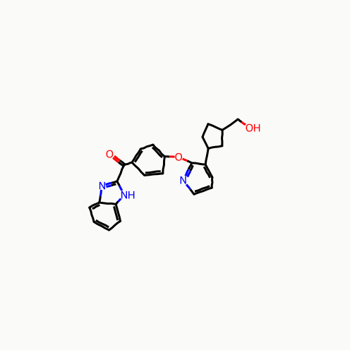 O=C(c1ccc(Oc2ncccc2C2CCC(CO)C2)cc1)c1nc2ccccc2[nH]1